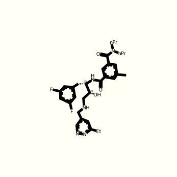 CCCN(CCC)C(=O)c1cc(C)cc(C(=O)N[C@@H](Cc2cc(F)cc(F)c2)[C@H](O)CNCc2cnnc(CC)c2)c1